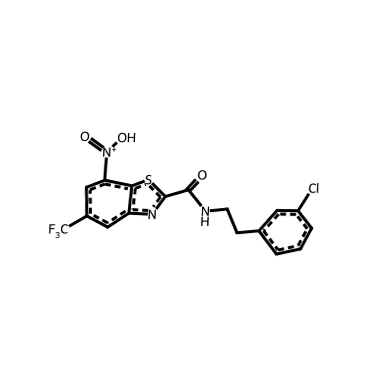 O=C(NCCc1cccc(Cl)c1)c1nc2cc(C(F)(F)F)cc([N+](=O)O)c2s1